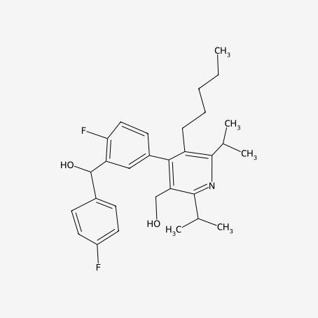 CCCCCc1c(C(C)C)nc(C(C)C)c(CO)c1-c1ccc(F)c(C(O)c2ccc(F)cc2)c1